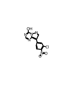 O=[N+]([O-])c1ccc(-c2cnn3c(O)ncnc23)cc1Cl